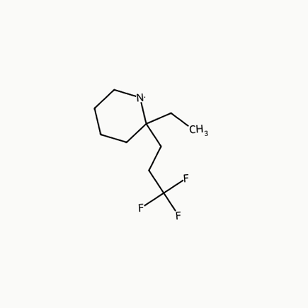 CCC1(CCC(F)(F)F)CCCC[N]1